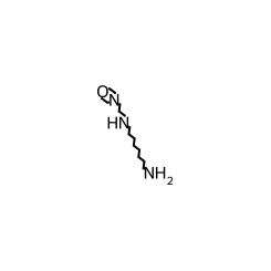 NCCCCCCCCNCCCN1CCOCC1